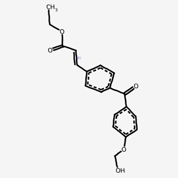 CCOC(=O)/C=C/c1ccc(C(=O)c2ccc(OCO)cc2)cc1